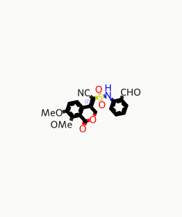 COc1ccc2c(c1OC)C(=O)OC/C2=C(/C#N)S(=O)(=O)Nc1ccccc1C=O